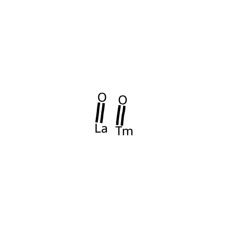 [O]=[La].[O]=[Tm]